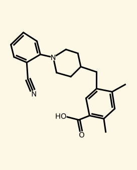 Cc1cc(C)c(C(=O)O)cc1CC1CCN(c2ccccc2C#N)CC1